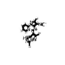 [C-]#[N+]c1c(C)nn(-c2ccccn2)c1/N=N/c1c(C)nn2c(C)n[nH]c12